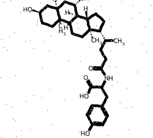 CC(CCC(=O)NC(Cc1ccc(O)cc1)C(=O)O)[C@H]1CC[C@H]2[C@@H]3[C@@H](O)C[C@@H]4C[C@H](O)CC[C@]4(C)[C@H]3CC[C@]12C